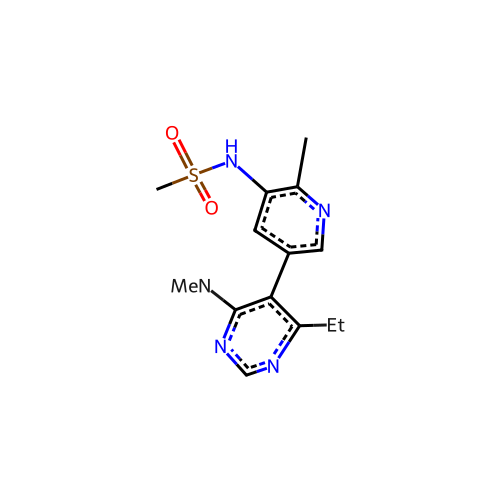 CCc1ncnc(NC)c1-c1cnc(C)c(NS(C)(=O)=O)c1